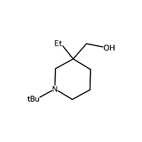 CCC1(CO)CCCN(C(C)(C)C)C1